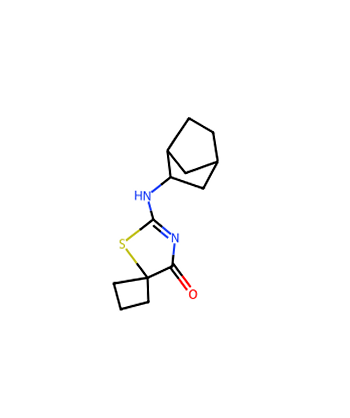 O=C1N=C(NC2CC3CCC2C3)SC12CCC2